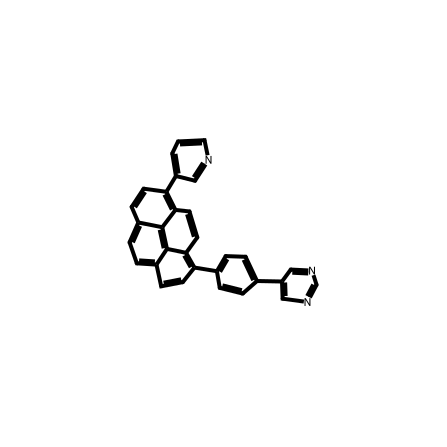 c1cncc(-c2ccc3ccc4ccc(-c5ccc(-c6cncnc6)cc5)c5ccc2c3c45)c1